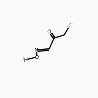 [2H]ON=CC(=O)CCl